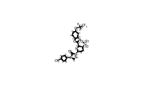 CCS(=O)(=O)c1ccc(-n2ncn(-c3ccc(Cl)cc3)c2=O)nc1-c1nc2cc(OC(F)(F)C(F)(F)F)ccc2o1